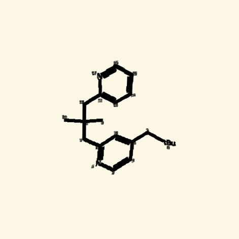 CC(C)(C)Cc1ccnc(CC(C)(C)Cc2ccccn2)c1